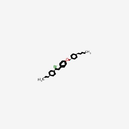 CCCCC[C@H]1CC[C@H](COc2ccc(CC(Br)[C@H]3CC[C@H](CCC)CC3)cc2)CC1